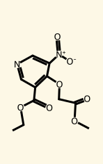 CCOC(=O)c1cncc([N+](=O)[O-])c1OCC(=O)OC